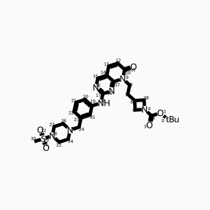 CC(C)(C)OC(=O)N1CC(CCn2c(=O)ccc3cnc(Nc4cccc(CN5CCN(S(C)(=O)=O)CC5)c4)nc32)C1